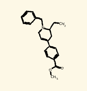 CCC1CC(c2ccc(C(=O)OC)cc2)=CCN1Cc1ccccc1